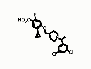 CC(c1cc(Cl)cc(Cl)c1)N1CCC(COc2cc(F)c(C(=O)O)cc2C2CC2)CC1